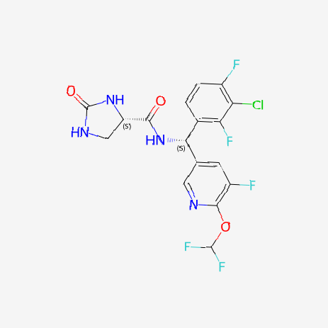 O=C1NC[C@@H](C(=O)N[C@@H](c2cnc(OC(F)F)c(F)c2)c2ccc(F)c(Cl)c2F)N1